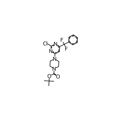 CC(C)(C)OC(=O)N1CCN(c2cc(C(F)(F)c3ccccc3)nc(Cl)n2)CC1